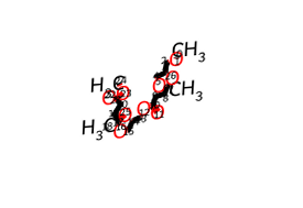 COCC1COC(C)(CCC(=O)OCC2COC(C)(CCC(=O)OC)O2)O1